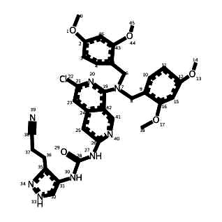 COc1ccc(CN(Cc2ccc(OC)cc2OC)c2nc(Cl)cc3cc(NC(=O)Nc4c[nH]nc4CCC#N)ncc23)c(OC)c1